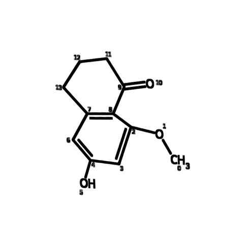 COc1cc(O)cc2c1C(=O)CCC2